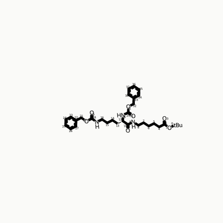 CC(C)(C)OC(=O)CCCCCNC(=O)[C@H](CCCCNC(=O)OCc1ccccc1)NC(=O)OCc1ccccc1